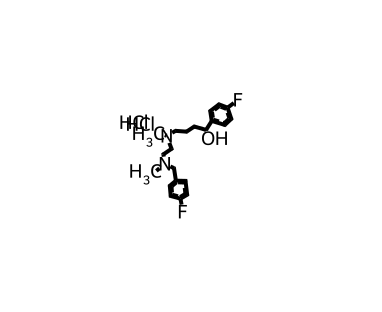 CN(CCCC(O)c1ccc(F)cc1)CCN(C)Cc1ccc(F)cc1.Cl.Cl